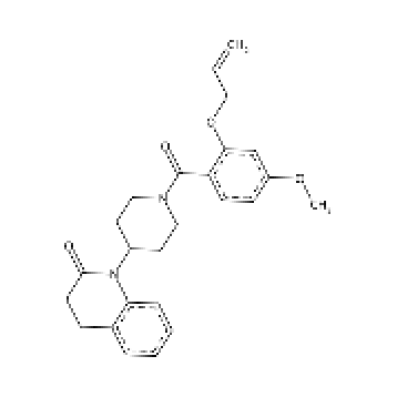 C=CCOc1cc(OC)ccc1C(=O)N1CCC(N2C(=O)CCc3ccccc32)CC1